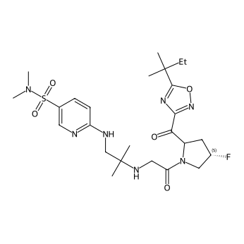 CCC(C)(C)c1nc(C(=O)C2C[C@H](F)CN2C(=O)CNC(C)(C)CNc2ccc(S(=O)(=O)N(C)C)cn2)no1